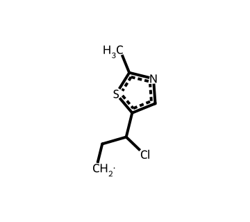 [CH2]CC(Cl)c1cnc(C)s1